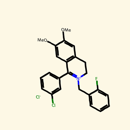 COc1cc2c(cc1OC)C(c1cccc(Cl)c1)=[N+](Cc1ccccc1F)CC2.[Cl-]